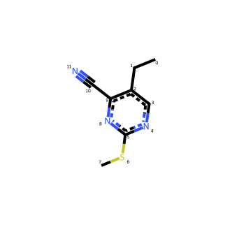 CCc1cnc(SC)nc1C#N